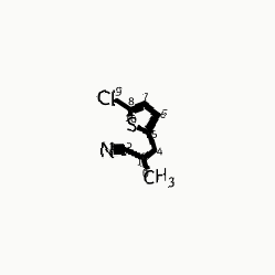 CC(C#N)Cc1ccc(Cl)s1